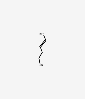 [CH2]CC/C=C/CCCCC[CH2]